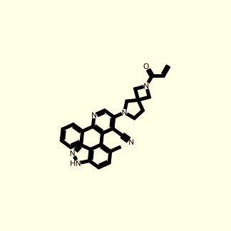 C=CC(=O)N1CC2(CCN(c3cnc(-c4ccccc4)c(-c4c(C)ccc5[nH]ncc45)c3C#N)C2)C1